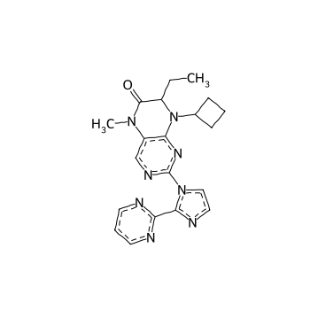 CCC1C(=O)N(C)c2cnc(-n3ccnc3-c3ncccn3)nc2N1C1CCC1